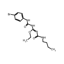 CCCCNC(=O)N=C(NC(=O)Nc1ccc(Br)cc1)OCC